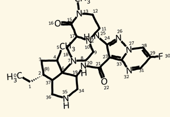 CC[C@@H]1CC(C)C2(N3CCN4CCN(C)C(=O)C4C3)C(NC(=O)c3c(N)nn4cc(F)cnc34)CNCC12